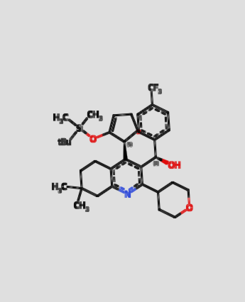 CC1(C)CCc2c(nc(C3CCOCC3)c([C@H](O)c3ccc(C(F)(F)F)cc3)c2[C@@H]2CCC=C2O[Si](C)(C)C(C)(C)C)C1